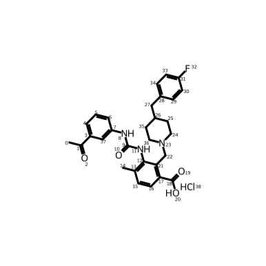 CC(=O)c1cccc(NC(=O)Nc2c(C)ccc(C(=O)O)c2CN2CCC(Cc3ccc(F)cc3)CC2)c1.Cl